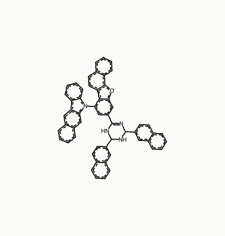 c1ccc2cc(C3N=C(c4cc(-n5c6ccccc6c6cc7ccccc7cc65)c5c(c4)oc4c6ccccc6ccc45)NC(c4ccc5ccccc5c4)N3)ccc2c1